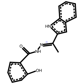 C/C(=N\NC(=O)c1ccccc1O)c1cc2ccccc2[nH]1